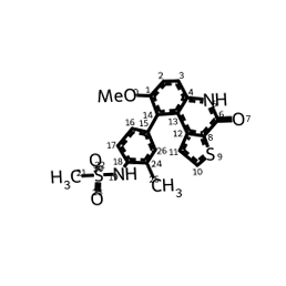 COc1ccc2[nH]c(=O)c3sccc3c2c1-c1ccc(NS(C)(=O)=O)c(C)c1